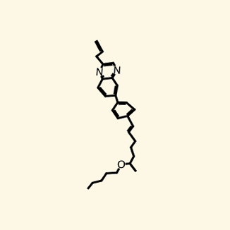 C=CCc1cnc2cc(-c3ccc(C=CCCCC(C)OCCCCC)cc3)ccc2n1